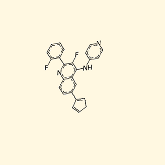 Fc1ccccc1-c1nc2ccc(C3=CCC=C3)cc2c(Nc2ccncc2)c1F